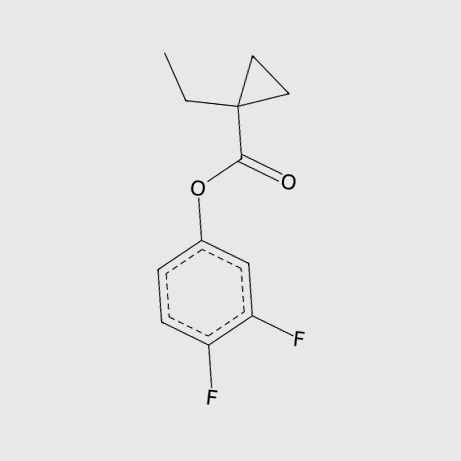 CCC1(C(=O)Oc2ccc(F)c(F)c2)CC1